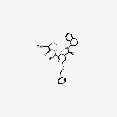 CNC(C)C(=O)NC(C(=O)NC(CCOCc1ccccc1)C(=O)NC1CCCc2ccccc21)C(C)C